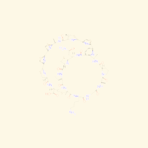 C=C1NC(=O)CNC(=O)[C@H](CCCCN)NC(=O)[C@@]2(C)NC(=O)/C(=C/C)NC(=O)[C@H]3CSC(=N3)[C@@H](CC(N)=O)NC(=O)c3ccc(nc3[C@@H](C)NC(=O)[C@@H]3CCCN3C1=O)-c1nc(cs1)C1=N[C@H](CS1)C(=O)NC(=C)c1nc(cs1)-c1nc(cs1)C1=N[C@@H](CS1)C(=O)N[C@@H](C(=O)O)CS2